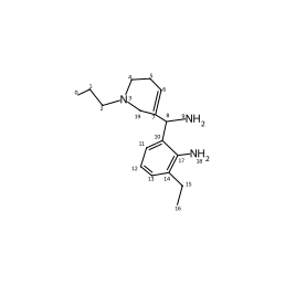 CCCN1CCC=C(C(N)c2cccc(CC)c2N)C1